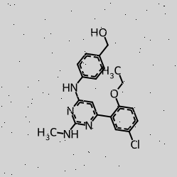 CCOc1ccc(Cl)cc1-c1cc(Nc2ccc(CO)cc2)nc(NC)n1